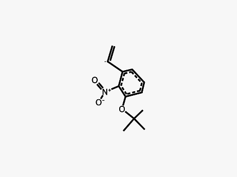 C=[C]c1cccc(OC(C)(C)C)c1[N+](=O)[O-]